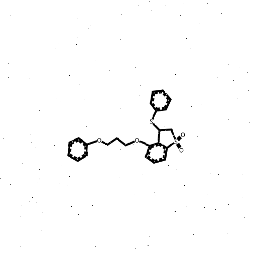 O=S1(=O)CC(Sc2ccccc2)c2c(OCCCOc3ccccc3)cccc21